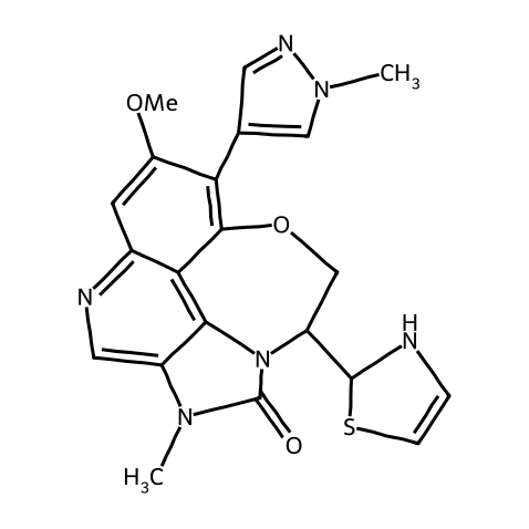 COc1cc2ncc3c4c2c(c1-c1cnn(C)c1)OCC(C1NC=CS1)n4c(=O)n3C